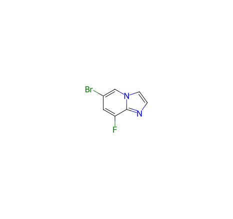 Fc1cc(Br)cn2ccnc12